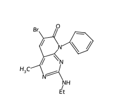 CCNc1nc(C)c2cc(Br)c(=O)n(-c3ccccc3)c2n1